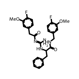 COc1cc(CNC(=O)C(Cc2ccccc2)NC(N)=NC(=O)Cc2ccc(F)c(OC)c2)ccc1F